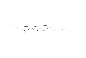 CCCCCCCCC1CCC(c2ccc(-c3ccc(-c4ccc(COCCCC)c(F)c4F)cc3)c(F)c2F)OC1